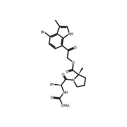 COC(=O)N[C@H](C(=O)N1CCC[C@@]1(C)C(=O)OCC(=O)c1ccc(Br)c2c(C)c[nH]c12)C(C)C